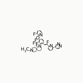 CCN1CCC2(CCCN(c3c(/C=C(\F)c4cccc(-c5ccnnc5)n4)ccc(Oc4ncccc4F)c3C(F)(F)F)C2)CC1